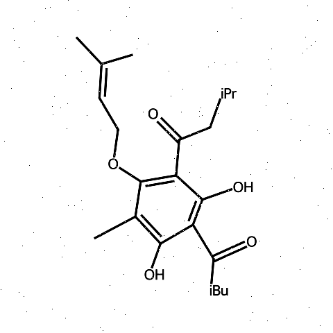 CCC(C)C(=O)c1c(O)c(C)c(OCC=C(C)C)c(C(=O)CC(C)C)c1O